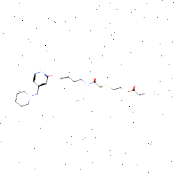 CCC(=O)OCCSCC(=O)NCCCCOc1cc(CN2CCCCC2)ccn1